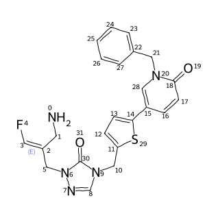 NC/C(=C\F)Cn1ncn(Cc2ccc(-c3ccc(=O)n(Cc4ccccc4)c3)s2)c1=O